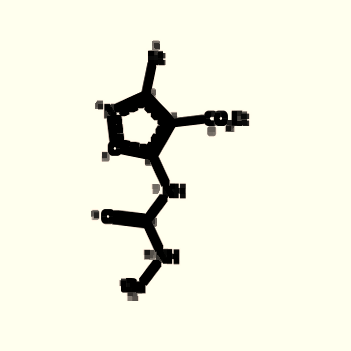 CCOC(=O)c1c(CC)noc1NC(=O)NC(C)(C)C